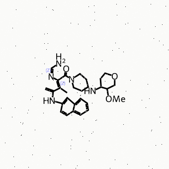 C=C(Nc1ccc2ccccc2c1)/C(C)=C(\N=C/N)C(=O)N1CCC(NC2CCOCC2OC)CC1